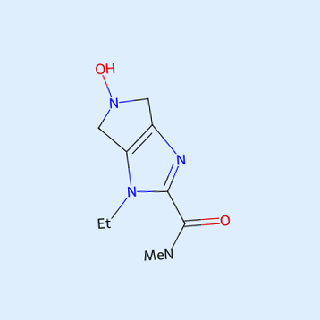 CCn1c(C(=O)NC)nc2c1CN(O)C2